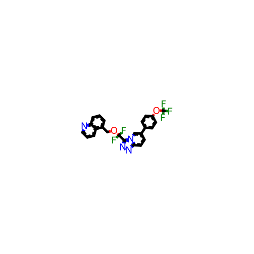 FC(F)(F)Oc1ccc(-c2ccc3nnc(C(F)(F)OCc4cccc5ncccc45)n3c2)cc1